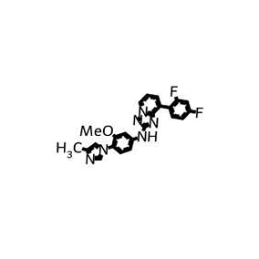 COc1cc(Nc2nc3c(-c4ccc(F)cc4F)cccn3n2)ccc1-n1cnc(C)c1